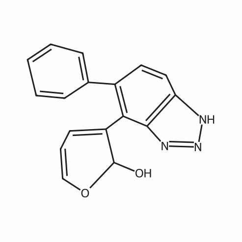 OC1OC=CC=C1c1c(-c2ccccc2)ccc2[nH]nnc12